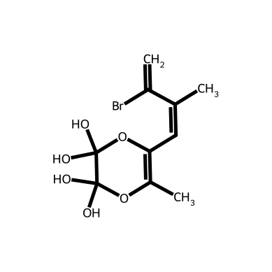 C=C(Br)/C(C)=C\C1=C(C)OC(O)(O)C(O)(O)O1